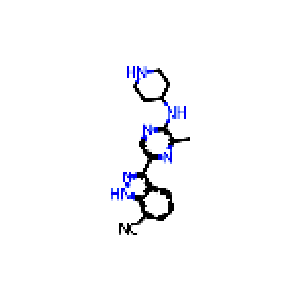 Cc1nc(-c2n[nH]c3c(C#N)cccc23)cnc1NC1CCNCC1